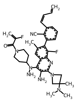 C=C/C=C\c1cccc(-c2c(C)cc3c(N(N)C4CCN(C(=O)C(=C)F)CC4)c(N)c(N4CC(C)(N(C)C)C4)nc3c2F)c1C#N